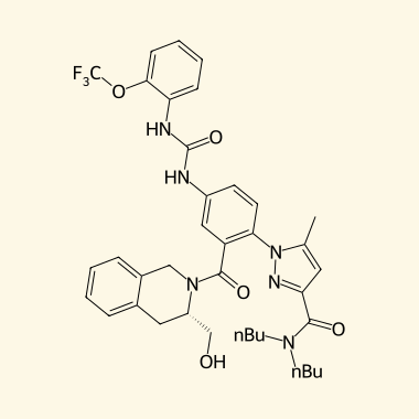 CCCCN(CCCC)C(=O)c1cc(C)n(-c2ccc(NC(=O)Nc3ccccc3OC(F)(F)F)cc2C(=O)N2Cc3ccccc3C[C@H]2CO)n1